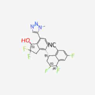 Cn1nncc1-c1ccc([C@H]2C[C@H](F)[C@H](F)c3cc(F)cc(C#N)c32)c2c1[C@H](O)C(F)(F)C2